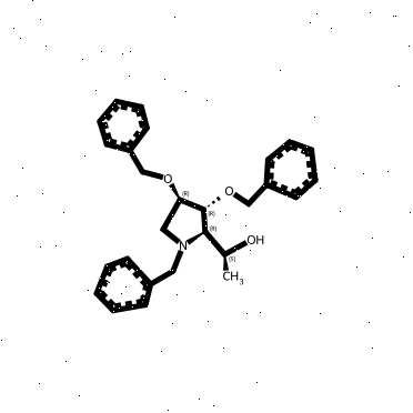 C[C@H](O)[C@@H]1[C@@H](OCc2ccccc2)[C@H](OCc2ccccc2)CN1Cc1ccccc1